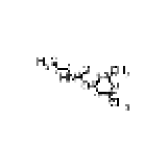 CCCNC(=O)Oc1cc(C)cc(C)c1